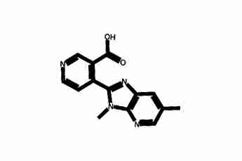 Cc1cnc2c(c1)nc(-c1ccncc1C(=O)O)n2C